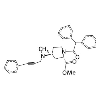 COC(=O)[C@@H]1C[C@@H](N(C)CC#Cc2ccccc2)CCN1C(=O)C(c1ccccc1)c1ccccc1